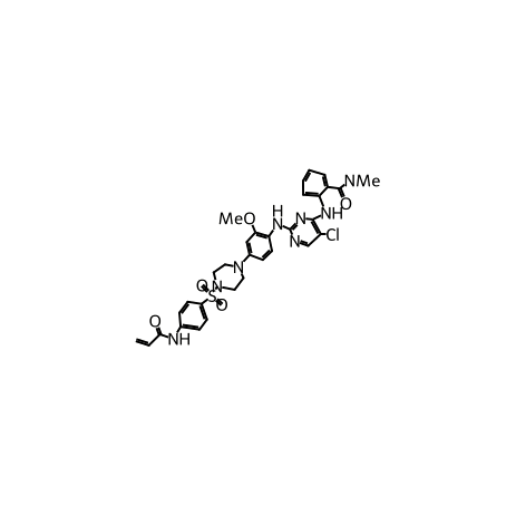 C=CC(=O)Nc1ccc(S(=O)(=O)N2CCN(c3ccc(Nc4ncc(Cl)c(Nc5ccccc5C(=O)NC)n4)c(OC)c3)CC2)cc1